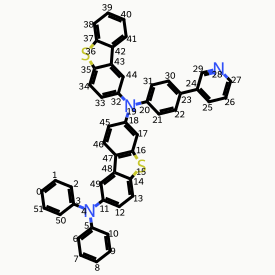 c1ccc(N(c2ccccc2)c2ccc3sc4cc(N(c5ccc(-c6cccnc6)cc5)c5ccc6sc7ccccc7c6c5)ccc4c3c2)cc1